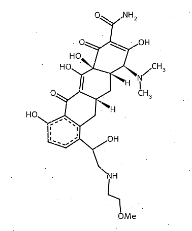 COCCNCC(O)c1ccc(O)c2c1C[C@H]1C[C@H]3[C@H](N(C)C)C(O)=C(C(N)=O)C(=O)[C@@]3(O)C(O)=C1C2=O